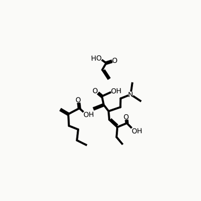 C=C(C(=O)O)C(C=C(CC)C(=O)O)CCN(C)C.C=C(CCCC)C(=O)O.C=CC(=O)O